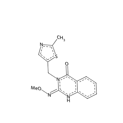 CON=c1[nH]c2ccccc2c(=O)n1Cc1cnc(C)s1